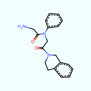 NCC(=O)N(CC(=O)N1CCc2ccccc2C1)c1ccccc1